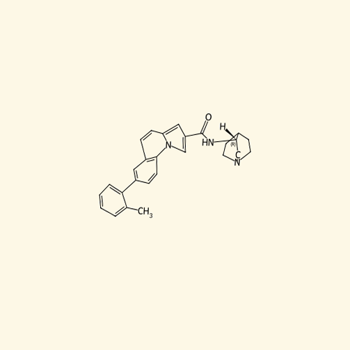 Cc1ccccc1-c1ccc2c(ccc3cc(C(=O)N[C@H]4CN5CCC4CC5)cn32)c1